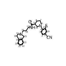 N#Cc1ccc(N2CCCC(C(=O)NCCCN3CCc4ccccc4C3)C2)c(F)c1